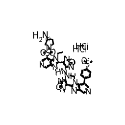 CCn1c(-c2nonc2NNc2nonc2-c2nc3cncc(S(=O)(=O)N4CC[C@H](N)C4)c3n2CC)nc2cncc(-c3ccc([S+](C)[O-])cc3)c21.Cl.Cl